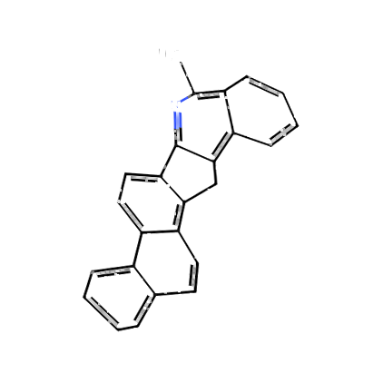 Cc1nc2c(c3ccccc13)Cc1c-2ccc2c1ccc1ccccc12